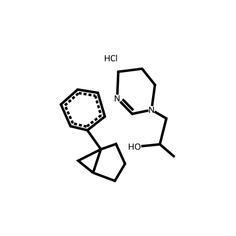 CC(O)CN1C=NCCC1.Cl.c1ccc(C23CCCC2C3)cc1